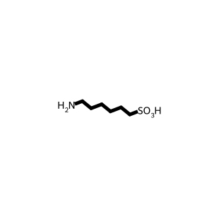 NCCCCCCS(=O)(=O)O